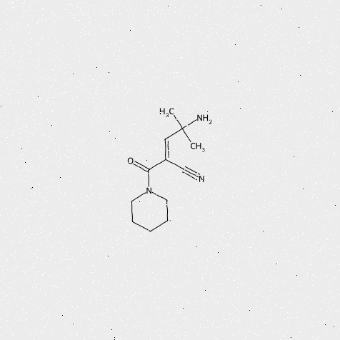 CC(C)(N)C=C(C#N)C(=O)N1C[CH]CCC1